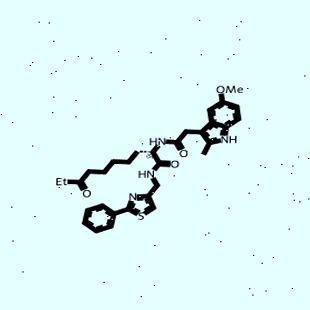 CCC(=O)CCCCC[C@H](NC(=O)Cc1c(C)[nH]c2ccc(OC)cc12)C(=O)NCc1csc(-c2ccccc2)n1